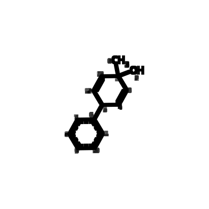 CC1(O)C=CC(c2ccccc2)C=C1